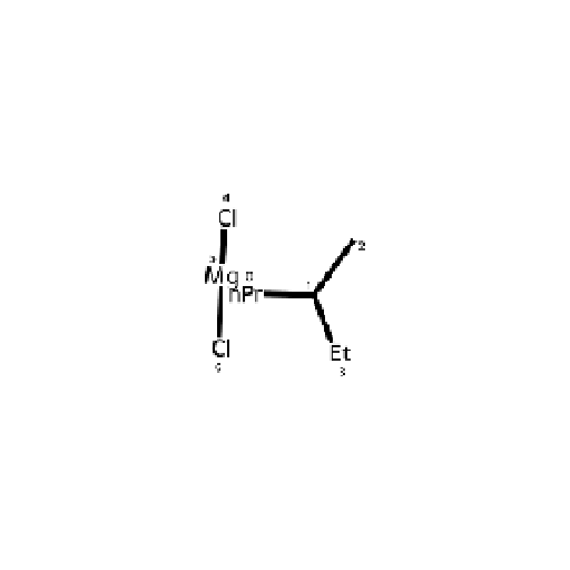 [CH2]CCC(C)CC.[Cl][Mg][Cl]